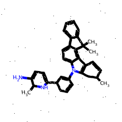 CC1C=Cc2c(n(C3=CC(C4=CC=C(N)C(C)N4)CC=C3)c3ccc4c(c23)C(C)(C)c2ccccc2-4)C1